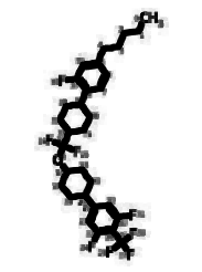 CCCCCc1ccc(C2CCC(C(F)(F)OC3CCC(c4cc(F)c(C(F)(F)F)c(F)c4)CC3)CC2)c(F)c1